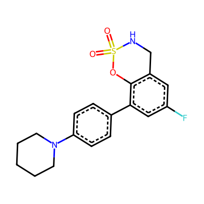 O=S1(=O)NCc2cc(F)cc(-c3ccc(N4CCCCC4)cc3)c2O1